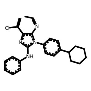 C=C(Cl)c1nc(Nc2ccccc2)n(-c2ccc(C3CCCCC3)cc2)c1/N=C\C